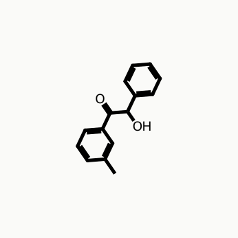 Cc1cccc(C(=O)C(O)c2ccccc2)c1